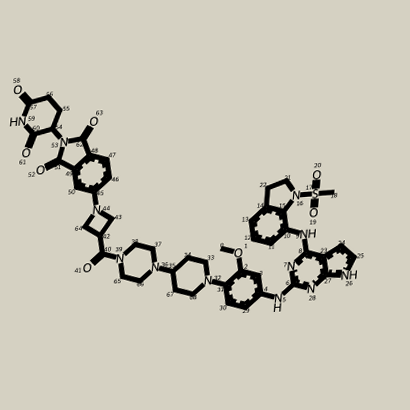 COc1cc(Nc2nc(Nc3cccc4c3N(S(C)(=O)=O)CC4)c3cc[nH]c3n2)ccc1N1CCC(N2CCN(C(=O)C3CN(c4ccc5c(c4)C(=O)N(C4CCC(=O)NC4=O)C5=O)C3)CC2)CC1